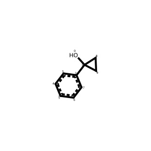 OC1(c2cc[c]cc2)CC1